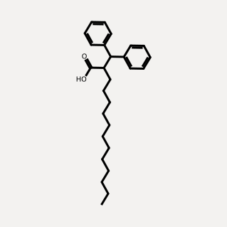 CCCCCCCCCCCCC(C(=O)O)C(c1ccccc1)c1ccccc1